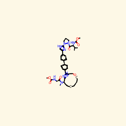 COC(=O)NCC(=O)N(C)C1CCCCCCCOCc2[nH]c1nc2-c1ccc(-c2ccc(-c3c[nH]c(N4CCCN4C(=O)[C@@H](NC(=O)OC)C(C)C)n3)cc2)cc1